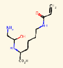 C=CC(=O)NCCCCC(NC(O)CN)C(=O)O